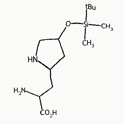 CC(C)(C)[Si](C)(C)OC1CNC(CC(N)C(=O)O)C1